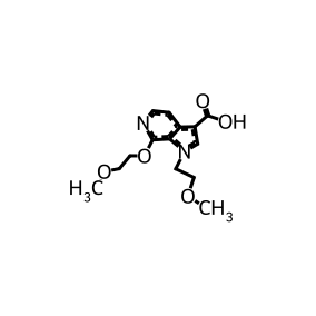 COCCOc1nccc2c(C(=O)O)cn(CCOC)c12